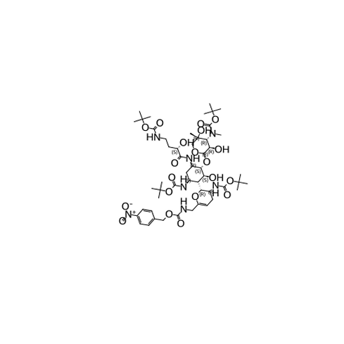 CN(C(=O)OC(C)(C)C)[C@@H]1[C@@H](O)[C@@H](O[C@H]2[C@H](NC(=O)[C@@H](O)CCNC(=O)OC(C)(C)C)C[C@H](NC(=O)OC(C)(C)C)C([C@H]3OC(CNC(=O)OCc4ccc([N+](=O)[O-])cc4)=CC[C@H]3NC(=O)OC(C)(C)C)[C@@H]2O)OC[C@]1(C)O